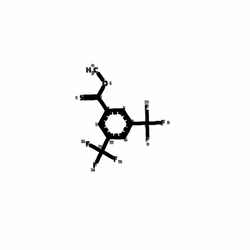 COC(=S)c1cc(C(F)(F)F)cc(C(F)(F)F)c1